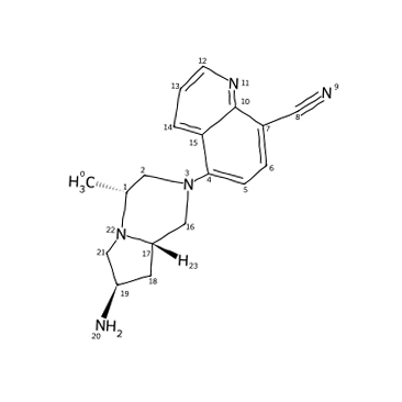 C[C@@H]1CN(c2ccc(C#N)c3ncccc23)C[C@@H]2C[C@@H](N)CN21